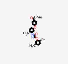 COC(=O)c1ccc(Oc2ccc([N+](=O)[O-])c(NC(=O)COC3CC(C)CCC3C(C)C)c2)cc1